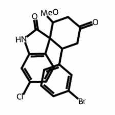 COC1CC(=O)CC(c2cccc(Br)c2)C12C(=O)Nc1cc(Cl)ccc12